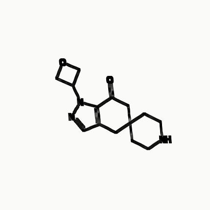 O=C1CC2(CCNCC2)Cc2cnn(C3COC3)c21